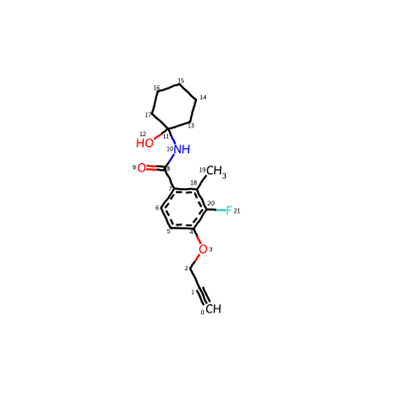 C#CCOc1ccc(C(=O)NC2(O)CCCCC2)c(C)c1F